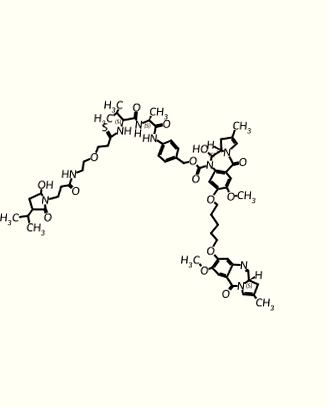 COc1cc2c(cc1OCCCCCOc1cc3c(cc1OC)C(=O)N1C=C(C)C[C@H]1[C@H](O)N3C(=O)OCc1ccc(NC(=O)[C@H](C)NC(=O)[C@@H](NC(=S)CCOCCNC(=O)CCN3C(=O)C(C(C)C)CC3O)C(C)C)cc1)N=C[C@@H]1CC(C)=CN1C2=O